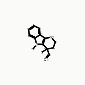 Cn1c2c(c3ccccc31)SCCC2(C)C=O